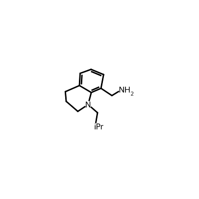 CC(C)CN1CCCc2cccc(CN)c21